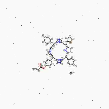 Cc1ccc(-c2c3nc(c(-c4cccs4)c4ccc([nH]4)c(-c4ccc(C)cc4)c4nc(c(-c5ccc(OC(=O)CC#N)cc5)c5ccc2[nH]5)C=C4)C=C3)cc1.[Mn]